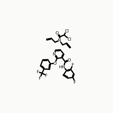 C=CCN(CC=C)C(=O)C(Cl)Cl.O=C(Nc1ccc(F)cc1F)c1cccnc1Oc1cccc(C(F)(F)F)c1